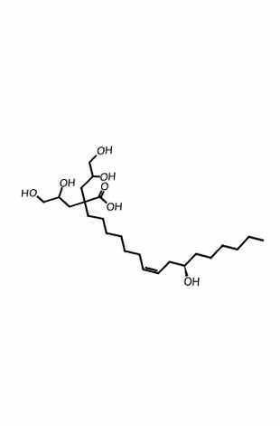 CCCCCC[C@@H](O)C/C=C\CCCCCCC(CC(O)CO)(CC(O)CO)C(=O)O